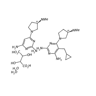 CN[C@@H]1CCN(c2cc(N)nc(N)n2)C1.CN[C@@H]1CCN(c2nc(N)nc(N)c2CC2CC2)C1.O.O.O=C(O)C(O)C(O)C(=O)O